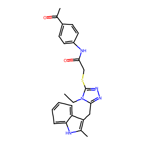 CCn1c(Cc2c(C)[nH]c3ccccc23)nnc1SCC(=O)Nc1ccc(C(C)=O)cc1